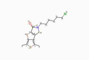 Cc1sc(C)c2c3c(sc12)C(=O)N(CCCCCCBr)C3